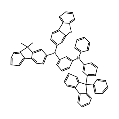 CC1(C)c2ccccc2-c2ccc(N(c3cccc(N(c4ccccc4)c4cccc(C5(c6ccccc6)c6ccccc6-c6ccccc65)c4)c3)c3ccc4c(c3)sc3ccccc34)cc21